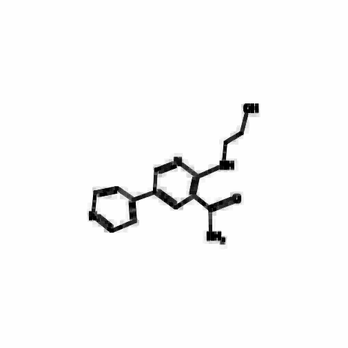 NC(=O)c1cc(-c2ccncc2)cnc1NCCO